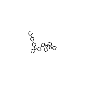 c1ccc(-c2ccc(-c3ccc(N(c4ccccc4)c4cccc(-c5cccc6c5c5ccccc5n6-c5cccc6c5oc5ccccc56)c4)cc3)cc2)cc1